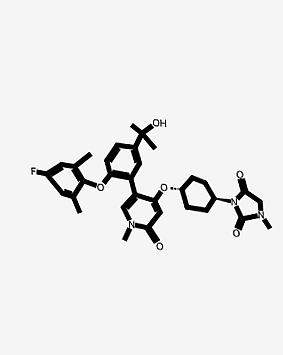 Cc1cc(F)cc(C)c1Oc1ccc(C(C)(C)O)cc1-c1cn(C)c(=O)cc1O[C@H]1CC[C@H](N2C(=O)CN(C)C2=O)CC1